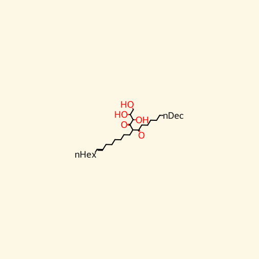 CCCCCCC=CCCCCCCC(C(=O)CCCCCCCCCCCCCCC)C(=O)C(O)C(O)CO